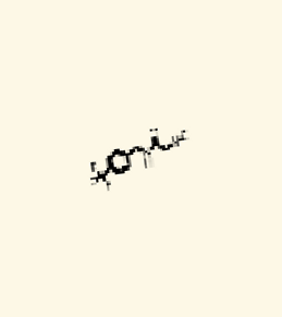 [C-]#[N+]CC(=O)NCc1ccc(C(F)(F)F)cc1